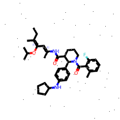 CC/C(C)=C(\C=C(/C)NC(=O)C1CCCN(C(=O)c2c(C)cccc2F)C1c1ccc(NC2CCCC2)cc1)OC(C)C